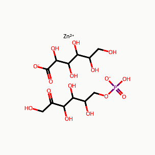 O=C(CO)C(O)C(O)C(O)COP(=O)([O-])O.O=C([O-])C(O)C(O)C(O)C(O)CO.[Zn+2]